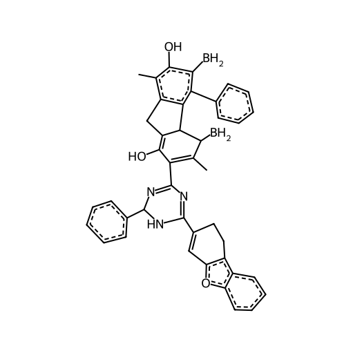 Bc1c(O)c(C)c2c(c1-c1ccccc1)C1C(=C(O)C(C3=NC(c4ccccc4)NC(C4=Cc5oc6ccccc6c5CC4)=N3)=C(C)C1B)C2